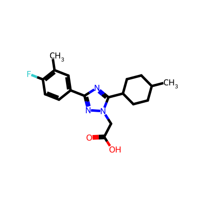 Cc1cc(-c2nc(C3CCC(C)CC3)n(CC(=O)O)n2)ccc1F